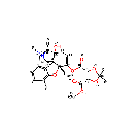 Cc1ccc2c3c1O[C@H]1C(OC(=O)[C@@H]4OC(C)(C)OC4C(=O)OC(C)(C)C)=CC[C@@]4(O)[C@@H](C2)N(C)CC[C@]314